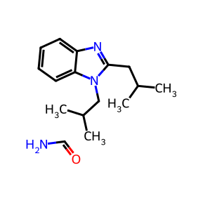 CC(C)Cc1nc2ccccc2n1CC(C)C.NC=O